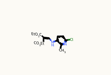 CCOC(=O)C(=CNc1ccc(Cl)nc1C)C(=O)OCC